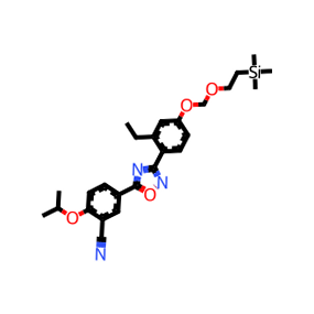 CCc1cc(OCOCC[Si](C)(C)C)ccc1-c1noc(-c2ccc(OC(C)C)c(C#N)c2)n1